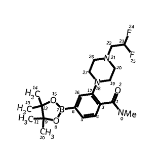 CNC(=O)c1ccc(B2OC(C)(C)C(C)(C)O2)cc1N1CCN(CC(F)F)CC1